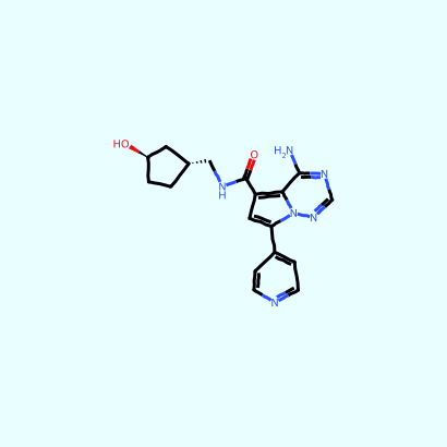 Nc1ncnn2c(-c3ccncc3)cc(C(=O)NC[C@@H]3CC[C@@H](O)C3)c12